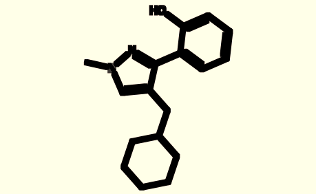 Cn1cc(CC2CCCCC2)c(-c2ccccc2O)n1